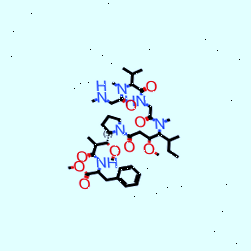 CCC(C)C(C(CC(=O)N1CCC[C@H]1C(OC)C(C)C(=O)NC(Cc1ccccc1)C(=O)OC)OC)N(C)C(=O)CNC(=O)C(C(C)C)N(C)C(=O)CNC